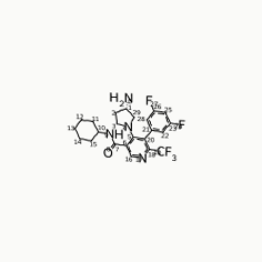 N[C@H]1CCN(c2c(C(=O)NC3CCCCC3)cnc(C(F)(F)F)c2-c2cc(F)cc(F)c2)C1